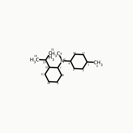 CC1CCC(N(C)C2CCCCC2C(C)C)CC1